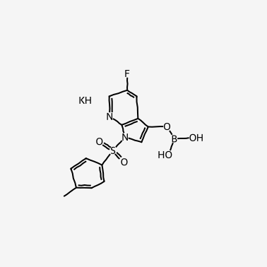 Cc1ccc(S(=O)(=O)n2cc(OB(O)O)c3cc(F)cnc32)cc1.[KH]